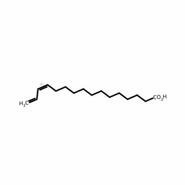 C=C/C=C\CCCCCCCCCCCC(=O)O